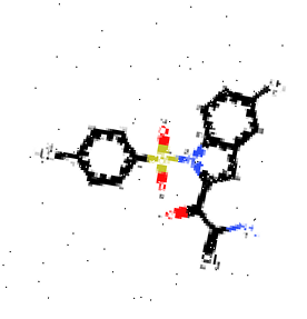 C=C(N)C(=O)c1cc2cc(C(F)(F)F)ccc2n1S(=O)(=O)c1ccc(C)cc1